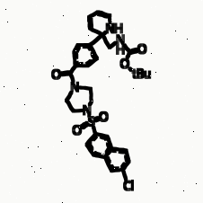 CC(C)(C)OC(=O)NCC1(c2ccc(C(=O)N3CCN(S(=O)(=O)c4ccc5cc(Cl)ccc5c4)CC3)cc2)C=CC=CN1